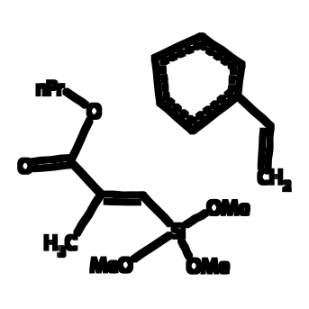 C=Cc1ccccc1.CCCOC(=O)C(C)=C[Si](OC)(OC)OC